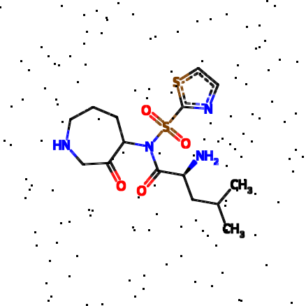 CC(C)C[C@H](N)C(=O)N(C1CCCNCC1=O)S(=O)(=O)c1nccs1